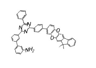 CC1(C)c2ccccc2-c2cc3c(cc21)Oc1cc(-c2ccc(-c4nc(-c5ccccc5)nc(-c5cccc(-c6cccc(N)c6)c5)n4)cc2)ccc1O3